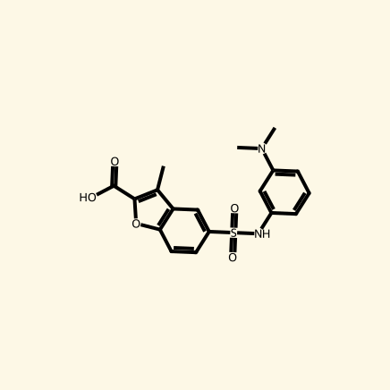 Cc1c(C(=O)O)oc2ccc(S(=O)(=O)Nc3cccc(N(C)C)c3)cc12